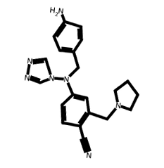 N#Cc1ccc(N(Cc2ccc(N)cc2)n2cnnc2)cc1CN1CCCC1